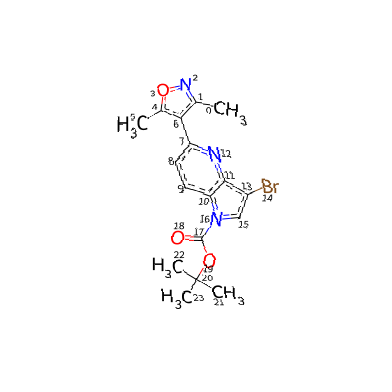 Cc1noc(C)c1-c1ccc2c(n1)c(Br)cn2C(=O)OC(C)(C)C